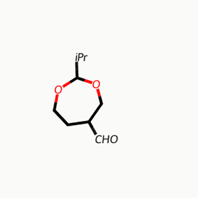 CC(C)C1OCCC(C=O)CO1